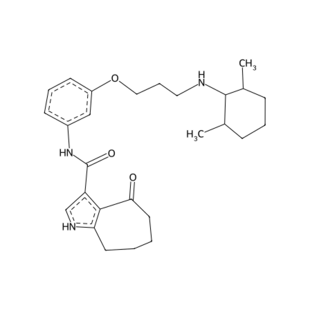 CC1CCCC(C)C1NCCCOc1cccc(NC(=O)c2c[nH]c3c2C(=O)CCCC3)c1